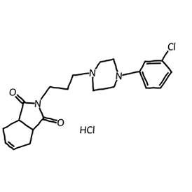 Cl.O=C1C2CC=CCC2C(=O)N1CCCN1CCN(c2cccc(Cl)c2)CC1